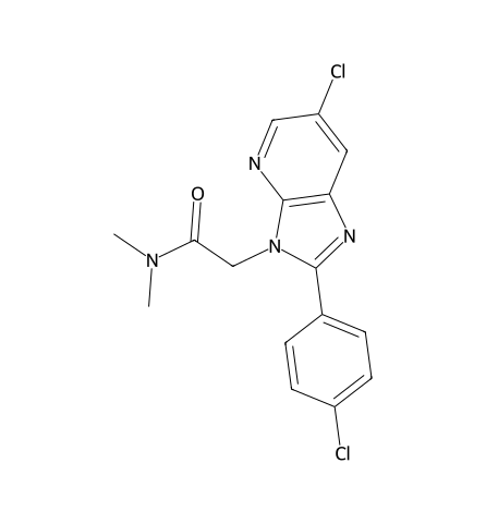 CN(C)C(=O)Cn1c(-c2ccc(Cl)cc2)nc2cc(Cl)cnc21